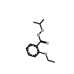 CCOc1ccccc1C(=O)OOC(C)C